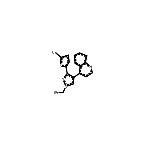 CC(C)Cn1cc(-c2ccnc3ccccc23)c(-c2ccc(Cl)s2)n1